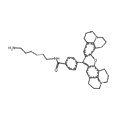 NCCCCCCNC(=O)c1ccc(C2=c3cc4c5c(c3Oc3c2cc2c6c3CCCN6CCC2)CCC[N+]=5CCC4)cc1